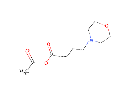 CC(=O)OC(=O)CCCN1CCOCC1